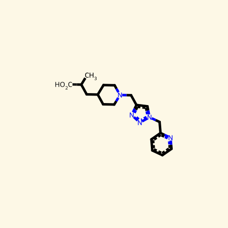 CC(CC1CCN(Cc2cn(Cc3ccccn3)nn2)CC1)C(=O)O